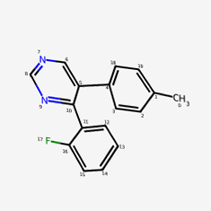 Cc1ccc(-c2cn[c]nc2-c2ccccc2F)cc1